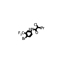 CC(C)C(Cl)C(=O)Nc1ccc(Br)c(C(F)(F)F)c1